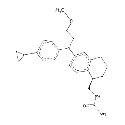 COCCN(c1ccc(C2CC2)cc1)c1ccc2c(c1)CCC[C@H]2CNC(=O)O